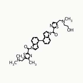 Cc1nc(C(=O)n2ccc3c(-c4cccc5c4ccn5C(=O)c4ncc(CN(C)CCO)s4)cccc32)sc1CN(C)C